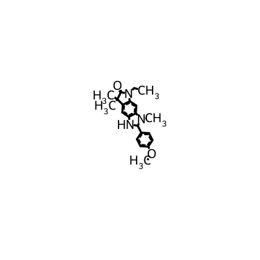 CCN1C(=O)C(C)(C)c2cc3c(cc21)N(C)C(c1ccc(OC)cc1)N3